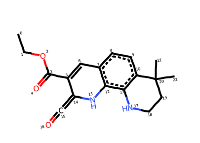 CCOC(=O)C1=Cc2ccc3c(c2NC1=C=O)NCCC3(C)C